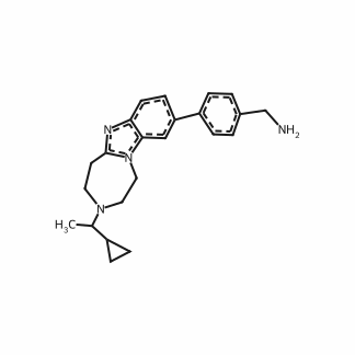 CC(C1CC1)N1CCc2nc3ccc(-c4ccc(CN)cc4)cc3n2CC1